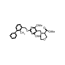 COC(=O)C1COCCN1Cc1c(OC)nc(OCc2cccc(-c3ccccc3)c2C)nc1OC